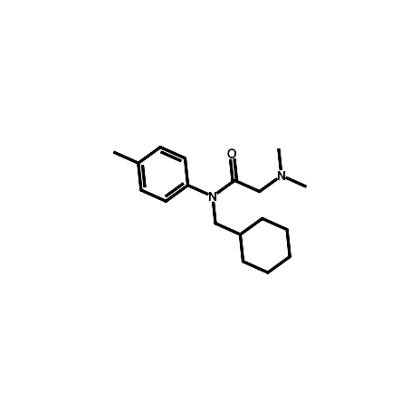 Cc1ccc(N(CC2CCCCC2)C(=O)CN(C)C)cc1